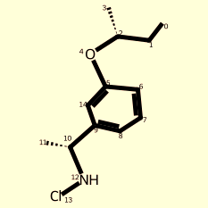 CC[C@@H](C)Oc1cccc([C@@H](C)NCl)c1